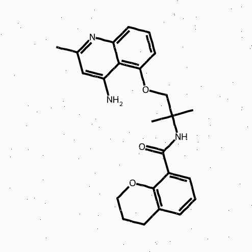 Cc1cc(N)c2c(OCC(C)(C)NC(=O)c3cccc4c3OCCC4)cccc2n1